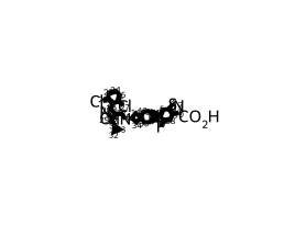 O=C(O)c1nsc2cc(N3C4CCC3CC3(CC(NCc5c(-c6c(Cl)cccc6Cl)noc5C5CC5)C3)C4)c(F)cc12